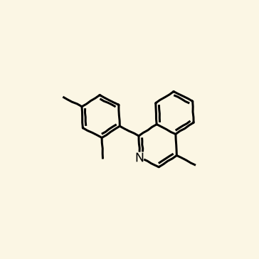 Cc1ccc(-c2ncc(C)c3ccccc23)c(C)c1